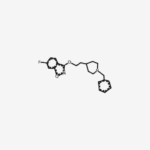 Fc1ccc2c(OCCC3CCN(Cc4ccccc4)CC3)noc2c1